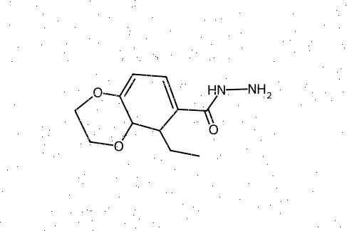 CCC1C(C(=O)NN)=CC=C2OCCOC21